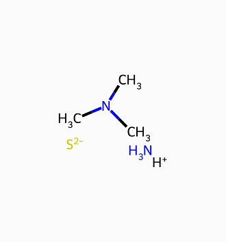 CN(C)C.N.[H+].[S-2]